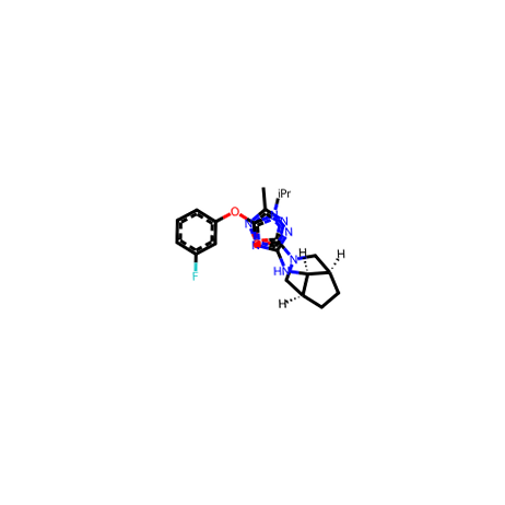 Cc1noc(N2C[C@H]3CC[C@@H](C2)[C@H]3Nc2nc(Oc3cccc(F)c3)n(C(C)C)n2)n1